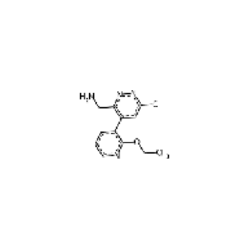 NCc1nnc(Cl)cc1-c1cccnc1OCC(F)(F)F